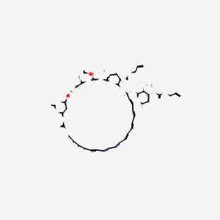 C=CCOC(=O)N[C@@H]1[C@H](O)[C@H](O[C@H]2/C=C/C=C/C=C/C=C/C=C/C=C/C=C/[C@H](C)[C@@H](O)[C@@H](C)[C@H](C)OC(=O)C[C@H]3C[C@@H](CC[C@@H](O)[C@H]4C[C@@H](C[C@]5(OC)C[C@H](O)[C@@H](C(=O)OCC=C)C(C2)O5)OC(P)O4)OC(P)O3)O[C@H](C)[C@H]1O